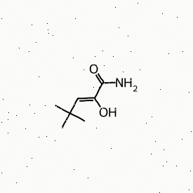 CC(C)(C)C=C(O)C(N)=O